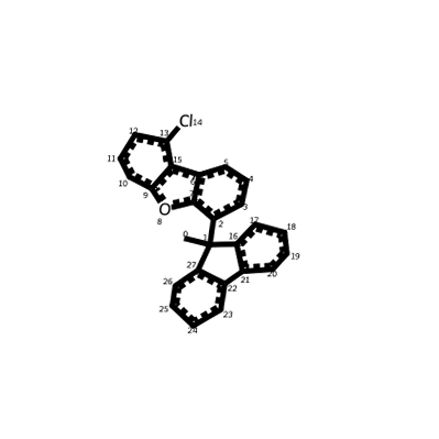 CC1(c2cccc3c2oc2cccc(Cl)c23)c2ccccc2-c2ccccc21